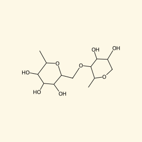 CC1OC(COC2C(C)OCC(O)C2O)C(O)C(O)C1O